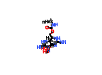 CCCCCCNC(=O)OCC1NC(=N)N2CCC(O)(O)C23NC(=N)N[C@@H]13